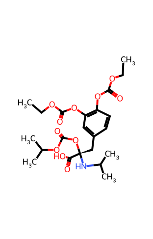 CCOC(=O)Oc1ccc(C[C@](NC(C)C)(OC(=O)OC(C)C)C(=O)O)cc1OC(=O)OCC